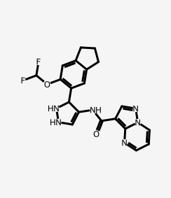 O=C(NC1=CNNC1c1cc2c(cc1OC(F)F)CCC2)c1cnn2cccnc12